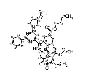 CCCCOC(=O)N1CCN(C(=O)[C@H](CP(=O)(OCC(=O)OCC)C(=O)OCC)NC(=O)c2cc(N3CC[C@H](OC)C3)nc(-c3ccccc3)n2)CC1